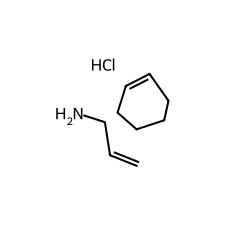 C1=CCCCC1.C=CCN.Cl